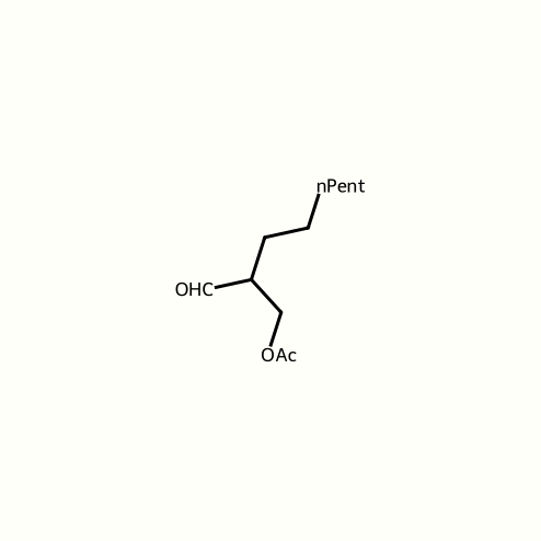 CCCCCCCC(C=O)COC(C)=O